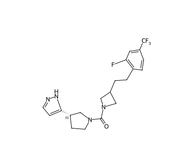 O=C(N1CC(CCc2ccc(C(F)(F)F)cc2F)C1)N1CC[C@H](c2ccn[nH]2)C1